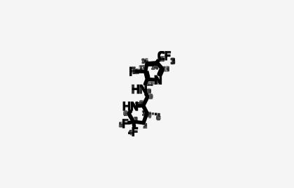 C[C@@H]1CC(F)(F)CNC1CNc1ncc(C(F)(F)F)cc1F